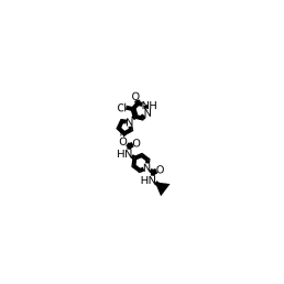 O=C(NC1CCN(C(=O)NC2CC2)CC1)O[C@@H]1CCN(c2cn[nH]c(=O)c2Cl)C1